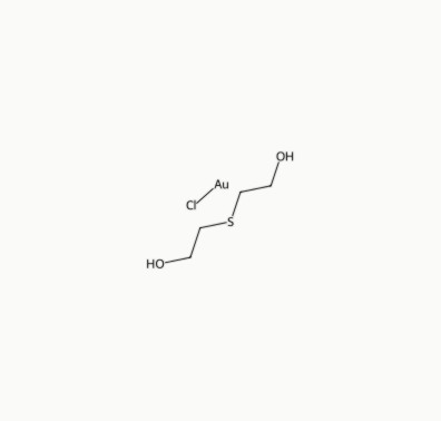 OCCSCCO.[Cl][Au]